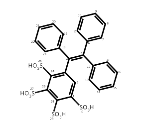 O=S(=O)(O)c1cc(C(=C(c2ccccc2)c2ccccc2)c2ccccc2)c(S(=O)(=O)O)c(S(=O)(=O)O)c1S(=O)(=O)O